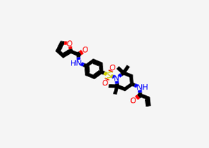 C=CC(=O)NC1CC(C)(C)N(S(=O)(=O)c2ccc(NC(=O)c3ccco3)cc2)C(C)(C)C1